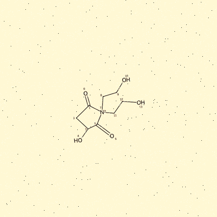 O=C1CC(O)C(=O)[N+]1(CCO)CCO